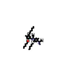 C/C=C(\C#N)c1cc(OCCCCCC)c(/C(C#N)=C/c2cc(OCCCCCC)c(C)cc2OCCCCCC)cc1C